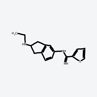 CCNC1Cc2ccc(NC(=N)c3cccs3)cc2C1